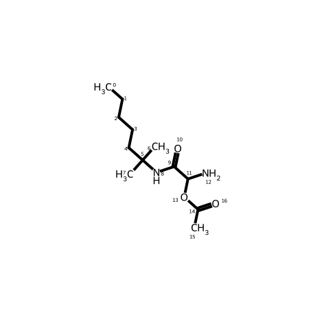 CCCCCC(C)(C)NC(=O)C(N)OC(C)=O